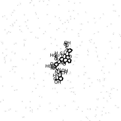 C#Cc1cccc(C(=O)O)c1Nc1nc(O)nc(Nc2cc(Nc3ccc4c5c3C(=O)c3ccccc3-c5c(C(=O)c3cccc(SOOO)c3)c(=O)n4C)c(SOOO)cc2S(=O)(=O)O)n1